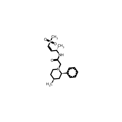 C[C@H]1CCN(CC(=O)N[C@@H](C)/C=C\S(C)(=O)=O)[C@@H](c2ccccc2)C1